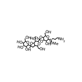 CCC1(C2OC(CO)C3CC(C)(C4OC(CO)C(O)C(O)C4O)OC3C2O)OC2C(CO)OC(N(CCCN)OC)C(O)C2O1